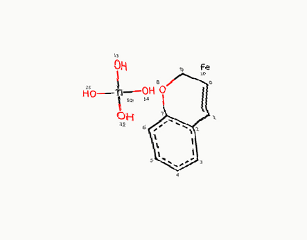 C1=Cc2ccccc2OC1.[Fe].[OH][Ti]([OH])([OH])[OH]